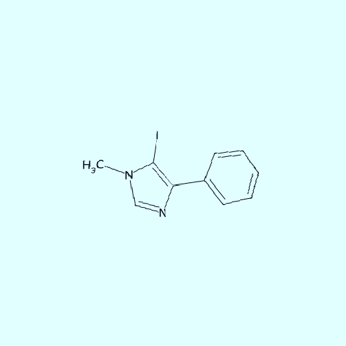 Cn1cnc(-c2ccccc2)c1I